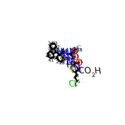 O=C(O)C1=C(C=CCCl)CS[C@@H]2[C@H](NC(=O)/C(=N\OCF)c3nsc(NC(c4ccccc4)(c4ccccc4)c4ccccc4)n3)C(=O)N12